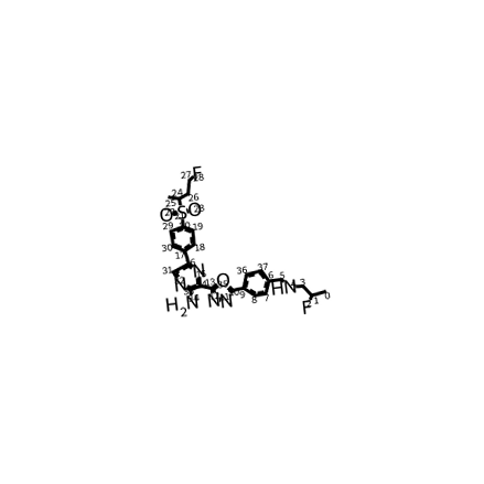 CC(F)CNCc1ccc(-c2nnc(-c3nc(-c4ccc(S(=O)(=O)C(C)CCF)cc4)cnc3N)o2)cc1